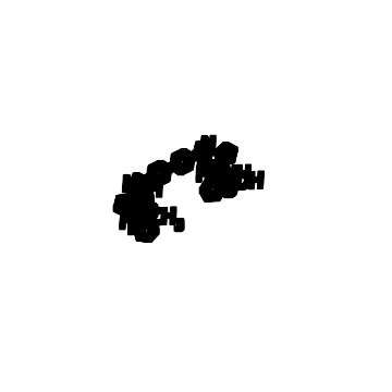 CO[C@](C(=O)N1CCC[C@H]1c1ncc(-c2ccc(-c3ccc(-c4cnc([C@@H]5CCCN5C(=O)[C@H](NC(=O)O)c5ccccc5)[nH]4)cc3)cc2)[nH]1)(c1ccccc1)C(F)(F)F